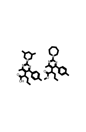 CCCC(C(=O)O)c1c(C)nc(N2CC(C)CC(C)C2)nc1-c1ccc(C)cc1.CCCC(C(=O)OC)c1c(C)nc(N2CCCCCC2)nc1-c1ccc(C)cc1